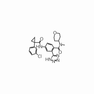 CN(C(=O)c1ccc(NC(=O)C2(c3cccc(Cl)c3)CC2)cc1-c1nnn[nH]1)C1CCOCC1